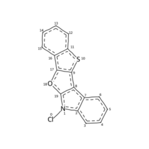 Cln1c2ccccc2c2c3sc4ccccc4c3oc21